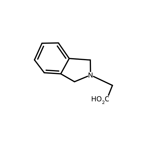 O=C(O)CN1Cc2ccccc2C1